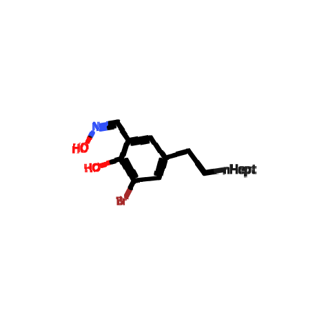 CCCCCCCCCc1cc(Br)c(O)c(/C=N\O)c1